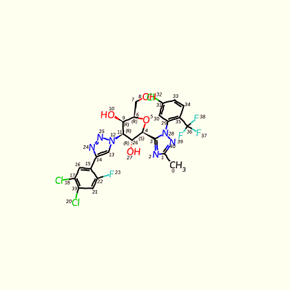 Cc1nc([C@@H]2O[C@H](CO)[C@H](O)[C@H](n3cc(-c4cc(Cl)c(Cl)cc4F)nn3)[C@H]2O)n(-c2cc(Cl)ccc2C(F)(F)F)n1